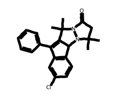 CC1(C)CC(=O)N2N1C1C(=C(c3ccccc3)c3cc(Cl)ccc31)C2(C)C